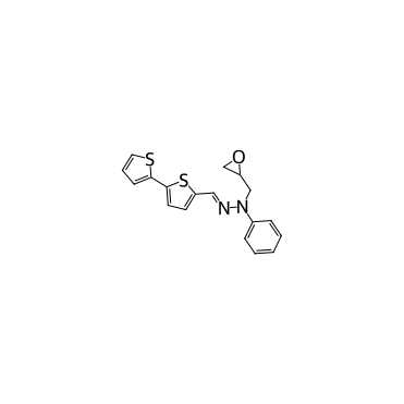 C(=N\N(CC1CO1)c1ccccc1)/c1ccc(-c2cccs2)s1